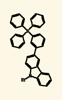 CCn1c2ccccc2c2cc(-c3cccc([Si](c4ccccc4)(c4ccccc4)c4ccccc4)c3)ccc21